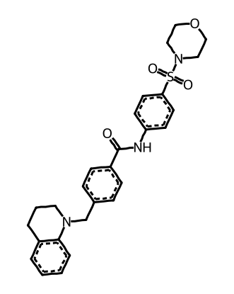 O=C(Nc1ccc(S(=O)(=O)N2CCOCC2)cc1)c1ccc(CN2CCCc3ccccc32)cc1